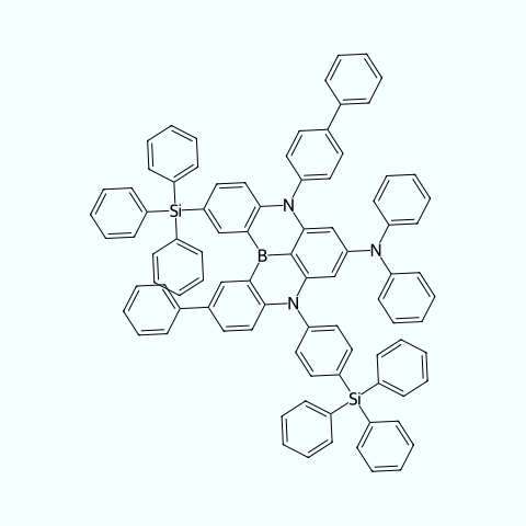 c1ccc(-c2ccc(N3c4ccc([Si](c5ccccc5)(c5ccccc5)c5ccccc5)cc4B4c5cc(-c6ccccc6)ccc5N(c5ccc([Si](c6ccccc6)(c6ccccc6)c6ccccc6)cc5)c5cc(N(c6ccccc6)c6ccccc6)cc3c54)cc2)cc1